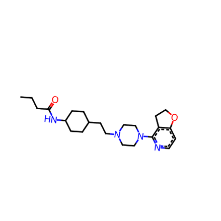 CCCC(=O)NC1CCC(CCN2CCN(c3nccc4c3CCO4)CC2)CC1